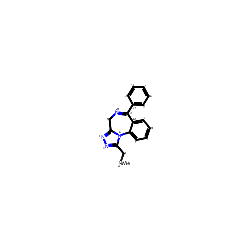 CNCc1nnc2n1-c1ccccc1C(c1ccccc1)=NC2